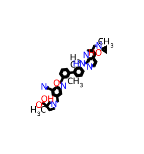 Cc1c(Nc2nccc3cc(CN(C)C4(O)CC4)cnc23)cccc1-c1cccc(-c2nc3cc(CN4CC[C@@](C)(C(=O)O)C4)cc(C#N)c3o2)c1C